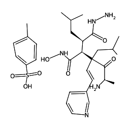 CC(C)C[C@@H](C(=O)NN)[C@H](C(=O)NO)C(/C=C/c1cccnc1)(CC(C)C)C(=O)[C@@H](C)N.Cc1ccc(S(=O)(=O)O)cc1